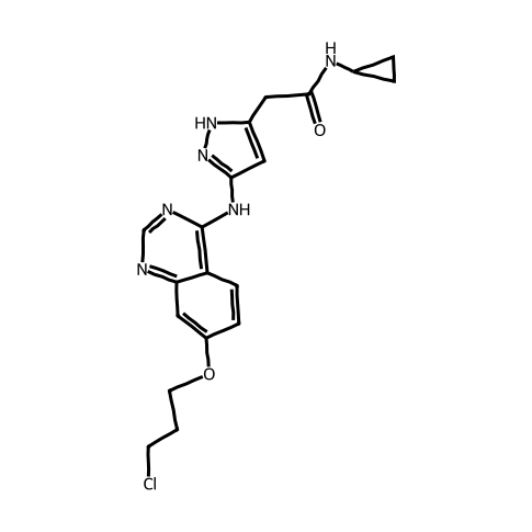 O=C(Cc1cc(Nc2ncnc3cc(OCCCCl)ccc23)n[nH]1)NC1CC1